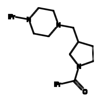 CC(C)C(=O)N1CCC(CN2CCN(C(C)C)CC2)C1